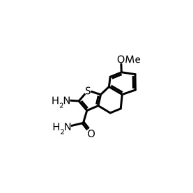 COc1ccc2c(c1)-c1sc(N)c(C(N)=O)c1CC2